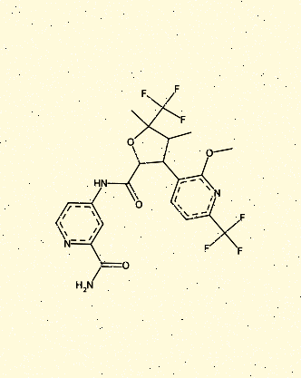 COc1nc(C(F)(F)F)ccc1C1C(C(=O)Nc2ccnc(C(N)=O)c2)OC(C)(C(F)(F)F)C1C